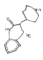 Cl.O=C1Nc2ccccc2CC1C1CCNCC1